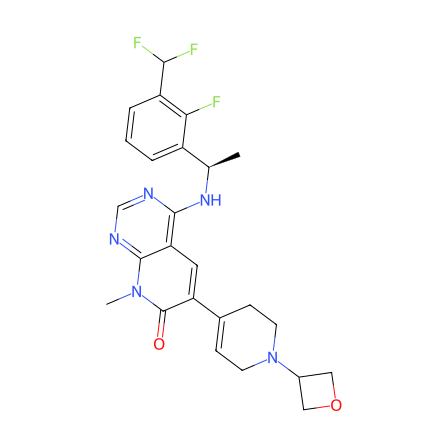 C[C@@H](Nc1ncnc2c1cc(C1=CCN(C3COC3)CC1)c(=O)n2C)c1cccc(C(F)F)c1F